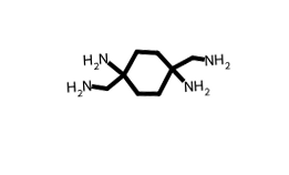 NCC1(N)CCC(N)(CN)CC1